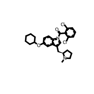 CN1CCC[C@@H]1Cc1cn(C(=O)c2c(Cl)cccc2Cl)c2ccc(OC3CCCCC3)cc12